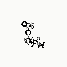 CCn1c(C(=O)NCC(C)(F)F)nc2c(N3CCC(n4c(=O)[nH]c5ccccc54)CC3)ncnc21